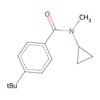 CN(C(=O)c1ccc(C(C)(C)C)cc1)C1CC1